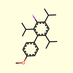 COc1ccc(-c2c(C(C)C)cc(C(C)C)c(I)c2C(C)C)cc1